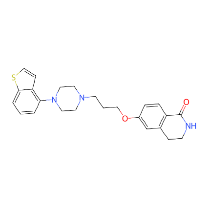 O=C1NCCc2cc(OCCCN3CCN(c4cccc5sccc45)CC3)ccc21